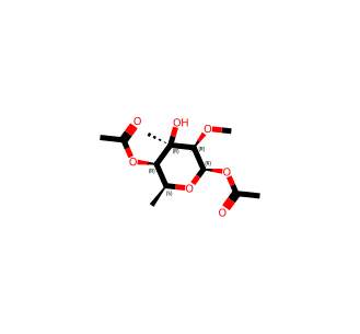 CO[C@H]1[C@@H](OC(C)=O)O[C@@H](C)[C@@H](OC(C)=O)[C@@]1(C)O